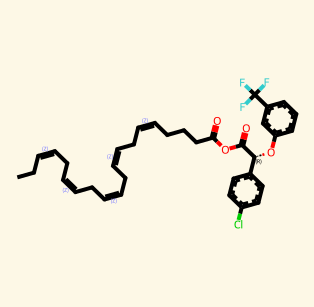 CC/C=C\C/C=C\C/C=C\C/C=C\C/C=C\CCCC(=O)OC(=O)[C@H](Oc1cccc(C(F)(F)F)c1)c1ccc(Cl)cc1